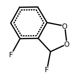 Fc1cccc2c1C(F)OO2